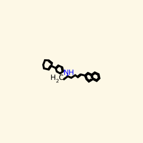 C=CC(CC/C=C/c1ccc2ccccc2c1)NC1=CC=C(C2=CCCCC=C2)CC1